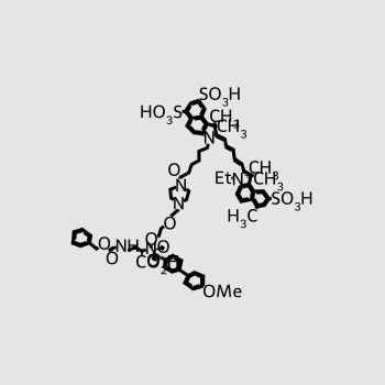 CC[N+]1=C(/C=C/C=C/C=C2\N(CCCCCC(=O)N3CCN(CCOCCON([C@H](CCNC(=O)OCc4ccccc4)C(=O)O)S(=O)(=O)c4ccc(-c5ccc(OC)cc5)cc4)CC3)c3ccc4c(S(=O)(=O)O)cc(S(=O)(=O)O)cc4c3C2(C)C)C(C)(C)c2c1ccc1c(C)cc(S(=O)(=O)O)cc21